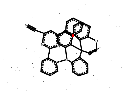 N#Cc1cc(-c2ccccc2)nc(-c2ccccc2N2c3ccccc3C3(c4ccccc4Oc4ccccc43)c3ccccc32)n1